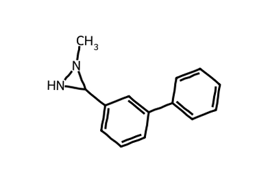 CN1NC1c1cccc(-c2ccccc2)c1